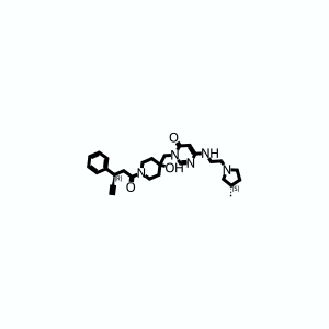 C#C[C@H](CC(=O)N1CCC(O)(Cn2cnc(NCCN3CC[C@H](C)C3)cc2=O)CC1)c1ccccc1